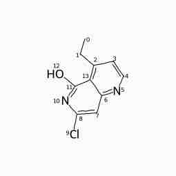 CCc1ccnc2cc(Cl)nc(O)c12